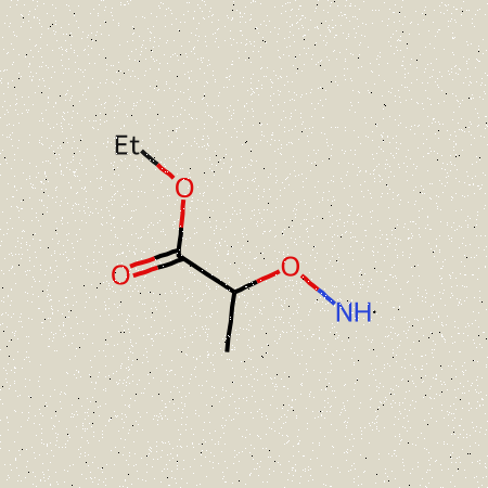 CCOC(=O)C(C)O[NH]